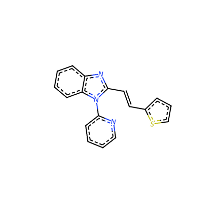 C(=Cc1nc2ccccc2n1-c1ccccn1)c1cccs1